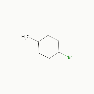 CC1CCC(Br)CC1